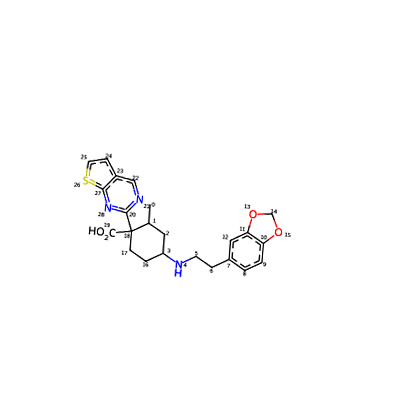 CC1CC(NCCc2ccc3c(c2)OCO3)CCC1(C(=O)O)c1ncc2ccsc2n1